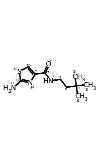 CC(C)(C)CCNC(=O)c1csc(N)n1